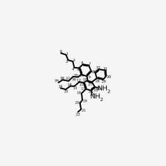 CCCCCc1cccc(-c2c(CCCCC)c(CCCCC)c(N)c(N)c2-c2ccccc2)c1CCCCC